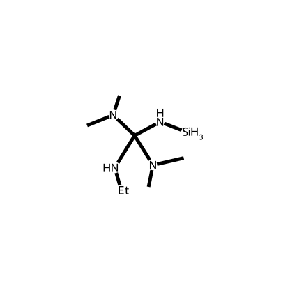 CCNC(N[SiH3])(N(C)C)N(C)C